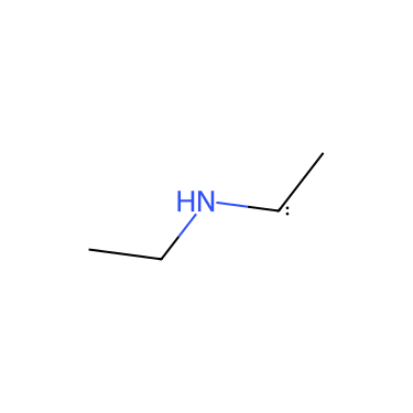 C[C]NCC